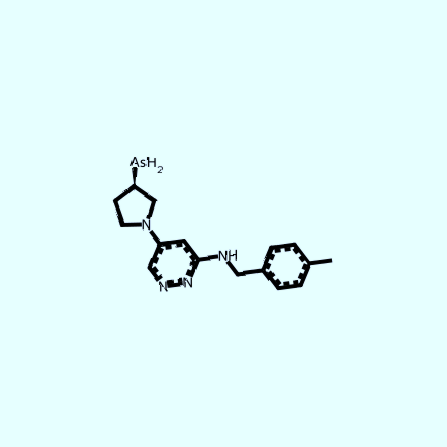 Cc1ccc(CNc2cc(N3CC[C@@H]([AsH2])C3)cnn2)cc1